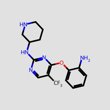 Nc1ccccc1Oc1nc(NC2CCCNC2)ncc1C(F)(F)F